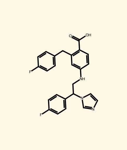 O=C(O)c1ccc(NCC(c2ccc(F)cc2)n2ccnc2)cc1Cc1ccc(F)cc1